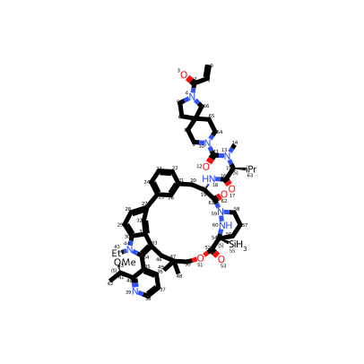 C=CC(=O)N1CCC2(CCN(C(=O)N(C)[C@H](C(=O)N[C@H]3Cc4cccc(c4)-c4ccc5c(c4)c(c(-c4cccnc4[C@H](C)OC)n5CC)CC(C)(C)COC(=O)[C@@]4([SiH3])CCCN(N4)C3=O)C(C)C)CC2)C1